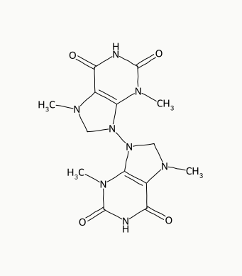 CN1CN(N2CN(C)c3c2n(C)c(=O)[nH]c3=O)c2c1c(=O)[nH]c(=O)n2C